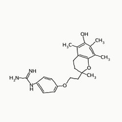 Cc1c(C)c2c(c(C)c1O)CCC(C)(CCOc1ccc(NC(=N)N)cc1)O2